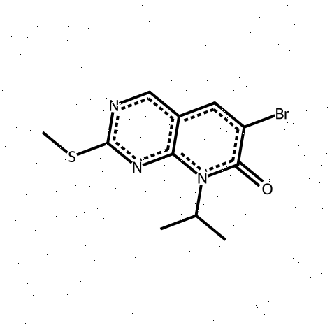 CSc1ncc2cc(Br)c(=O)n(C(C)C)c2n1